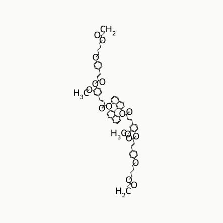 C=CC(=O)OCCCCOc1ccc(/C=C/C(=O)Oc2ccc(/C=C/C(=O)Oc3ccc4ccccc4c3-c3c(OC(=O)/C=C/c4ccc(OC(=O)/C=C/c5ccc(OCCCCOC(=O)C=C)cc5)c(OC)c4)ccc4ccccc34)cc2OC)cc1